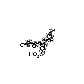 O=C(O)Oc1ccc2c(c1)nc(C(=O)NC1CCN(C3CC3)CC1)n2Cc1cc(-c2ccc(Cl)s2)on1